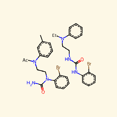 CC(=O)N(CCN(C(N)=O)c1ccccc1Br)c1cccc(C)c1.CCN(CCNC(=O)Nc1ccccc1Br)c1ccccc1